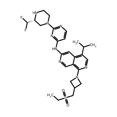 CCS(=O)(=O)CC1CN(c2ncc(C(C)C)c3cc(Nc4ccnc(N5CCN[C@@H](C(F)F)C5)n4)ncc23)C1